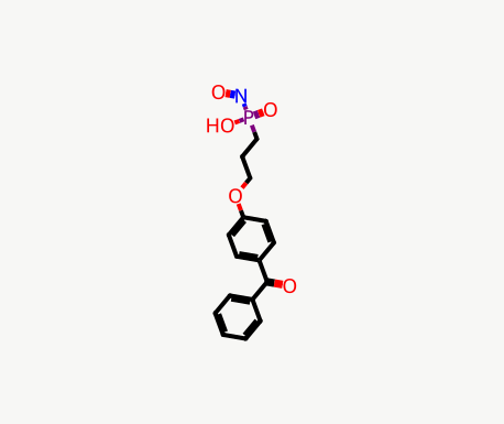 O=NP(=O)(O)CCCOc1ccc(C(=O)c2ccccc2)cc1